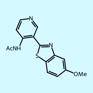 COc1ccc2sc(-c3cnccc3NC(C)=O)nc2c1